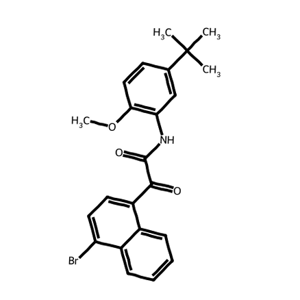 COc1ccc(C(C)(C)C)cc1NC(=O)C(=O)c1ccc(Br)c2ccccc12